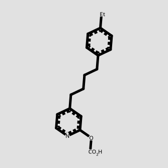 CCc1ccc(CCCCc2ccnc(OC(=O)O)c2)cc1